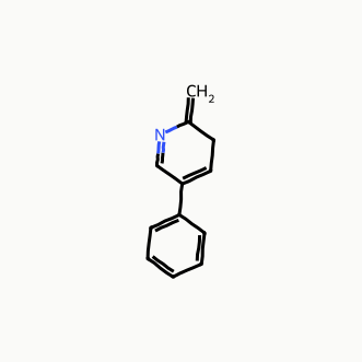 C=C1CC=C(c2ccccc2)C=N1